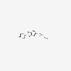 O=CCCOC1CN(c2ccc3c(c2)C(=O)N(C2CCC(=O)NC2=O)C3=O)C1